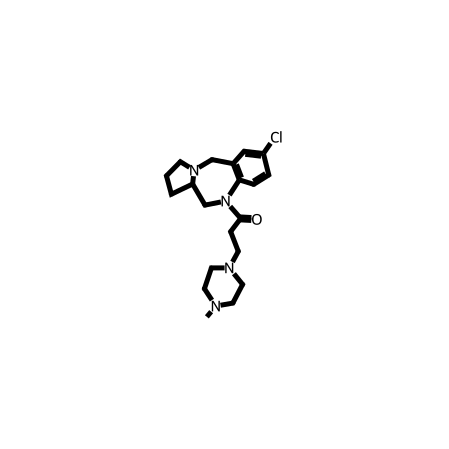 CN1CCN(CCC(=O)N2CC3CCCN3Cc3cc(Cl)ccc32)CC1